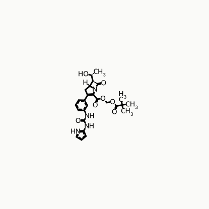 C[C@@H](O)[C@H]1C(=O)N2C(C(=O)OCOC(=O)C(C)(C)C)=C(c3cccc(NC(=O)Nc4ccc[nH]4)c3)C[C@H]12